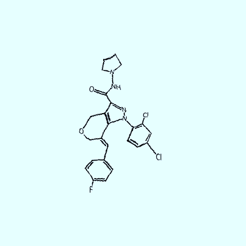 O=C(NN1CCCC1)c1nn(-c2ccc(Cl)cc2Cl)c2c1COCC2=Cc1ccc(F)cc1